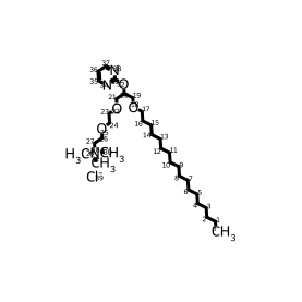 CCCCCCCCCCCCCCCCCCOCC(COCCOCC[N+](C)(C)C)Oc1ncccn1.[Cl-]